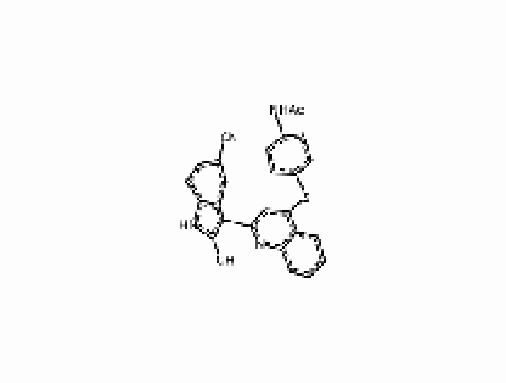 CC(=O)Nc1ccc(Sc2cc(-c3c(O)[nH]c4ccc(C#N)cc34)nc3ccccc23)cc1